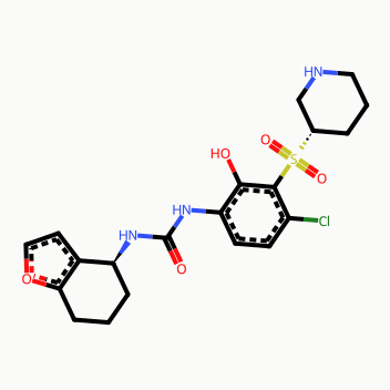 O=C(Nc1ccc(Cl)c(S(=O)(=O)[C@H]2CCCNC2)c1O)N[C@H]1CCCc2occc21